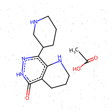 CC(=O)O.O=c1[nH]nc(C2CCCNC2)c2c1CCCN2